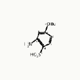 CC(C)COc1ccc(S(=O)(=O)O)c(N)c1